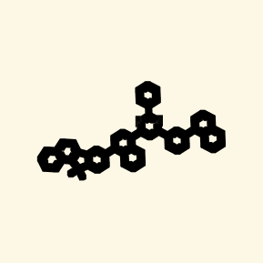 CC1(C)c2ccc(-c3ccc(-c4cc(-c5cccc(-c6cccc7ccccc67)c5)nc(-c5ccccc5)n4)c4ccccc34)cc2-c2ccc3ccccc3c21